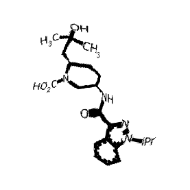 CC(C)n1nc(C(=O)N[C@@H]2CC[C@H](CC(C)(C)O)N(C(=O)O)C2)c2ccccc21